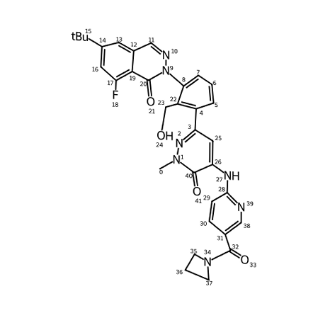 Cn1nc(-c2cccc(-n3ncc4cc(C(C)(C)C)cc(F)c4c3=O)c2CO)cc(Nc2ccc(C(=O)N3CCC3)cn2)c1=O